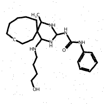 CC1NC(NC(=O)Nc2ccccc2)NC(NCCCCO)C12CCCCCCCC2